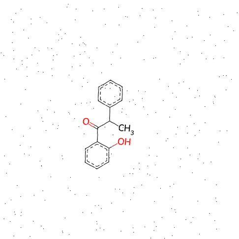 CC(C(=O)c1ccccc1O)c1ccccc1